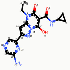 CC(C)(C)Cn1c(=O)c(C(=O)NC2CC2)c(O)n2nc(-c3cncc(N)n3)cc12